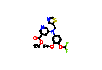 CC(C)Oc1cc(N(Cc2cncs2)c2cncc(C(=O)OC(C)(C)C)c2)ccc1OC(F)F